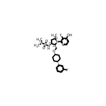 C[C@@H]1C[C@H](NS(=O)(=O)N(C)C)[C@H](CO[C@H]2CC[C@@H](c3cccc(F)c3)CC2)N1c1nccc(O)c1F